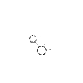 N#Cc1ccc(-c2cccc(S)c2Cl)o1